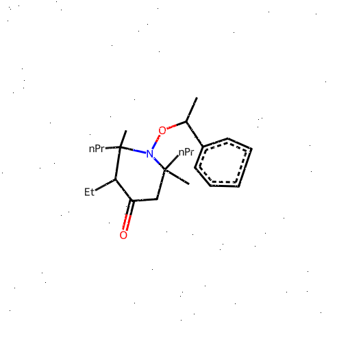 CCCC1(C)CC(=O)C(CC)C(C)(CCC)N1OC(C)c1ccccc1